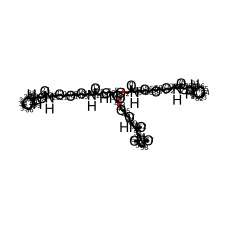 O=C(CCOCC(COCCC(=O)NCCOCCOCCOCCNC(=O)OCC1[C@H]2CCC#CCC[C@@H]12)NC(=O)CCOCCOCCNC(=O)CCN1C(=O)C=CC1=O)NCCOCCOCCOCCNC(=O)OCC1[C@H]2CCC#CCC[C@@H]12